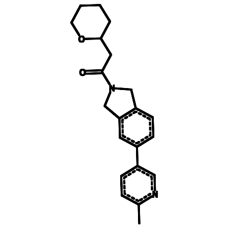 Cc1ccc(-c2ccc3c(c2)CN(C(=O)CC2CCCCO2)C3)cn1